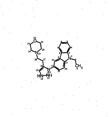 CCn1c2ccccc2c2cc(N3NNC=C3CCN3CCOCC3)ccc21